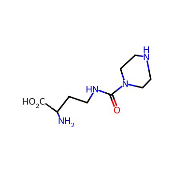 NC(CCNC(=O)N1CCNCC1)C(=O)O